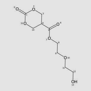 O=C1OCC(C(=O)OCCOCCO)CO1